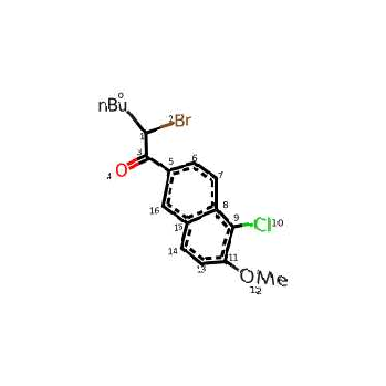 CCCCC(Br)C(=O)c1ccc2c(Cl)c(OC)ccc2c1